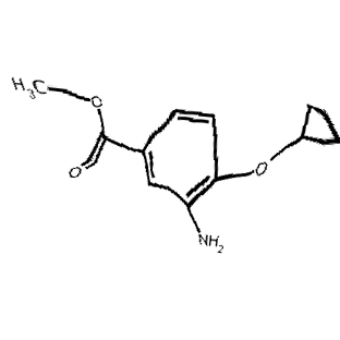 COC(=O)c1ccc(OC2CC2)c(N)c1